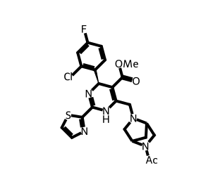 COC(=O)C1=C(CN2CC3CC2CN3C(C)=O)NC(c2nccs2)=N[C@H]1c1ccc(F)cc1Cl